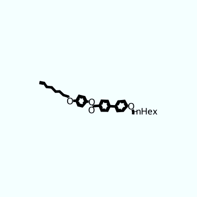 C=CCCCCCCOc1ccc(OC(=O)c2ccc(-c3ccc(O[C@@H](C)CCCCCC)cc3)cc2)cc1